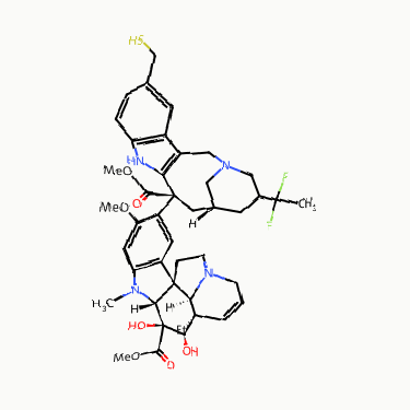 CC[C@]12C=CCN3CC[C@@]4(c5cc([C@@]6(C(=O)OC)C[C@H]7CC(C(C)(F)F)CN(Cc8c6[nH]c6ccc(CS)cc86)C7)c(OC)cc5N(C)[C@H]4[C@@](O)(C(=O)OC)[C@@H]1O)[C@@H]32